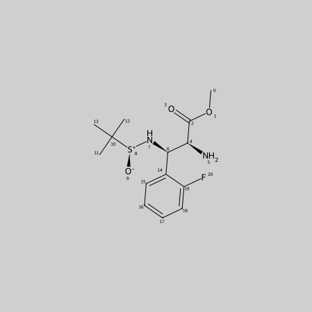 COC(=O)[C@@H](N)[C@H](N[S@@+]([O-])C(C)(C)C)c1ccccc1F